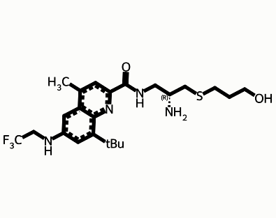 Cc1cc(C(=O)NC[C@@H](N)CSCCCO)nc2c(C(C)(C)C)cc(NCC(F)(F)F)cc12